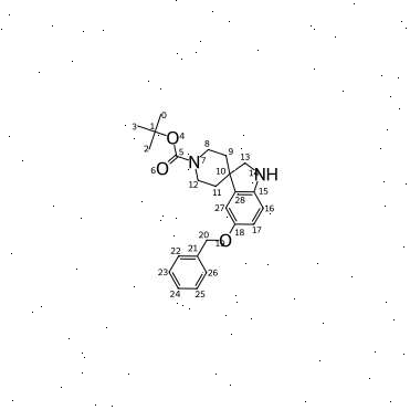 CC(C)(C)OC(=O)N1CCC2(CC1)CNc1ccc(OCc3ccccc3)cc12